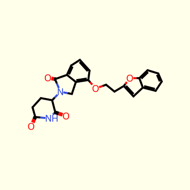 O=C1CCC(N2Cc3c(OCCc4cc5ccccc5o4)cccc3C2=O)C(=O)N1